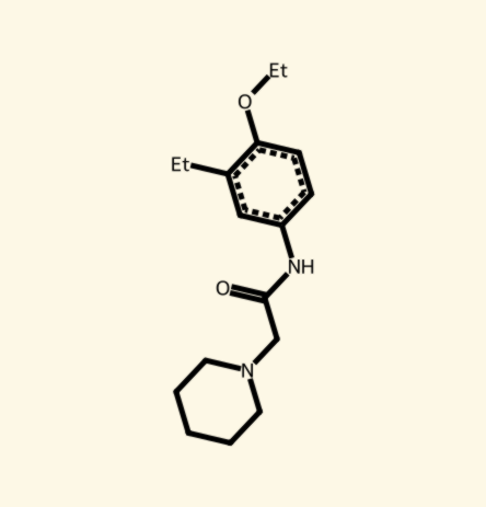 CCOc1ccc(NC(=O)CN2CCCCC2)cc1CC